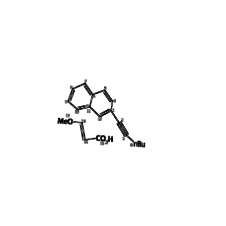 CCCCC#Cc1ccc2ccccc2c1.COC=CC(=O)O